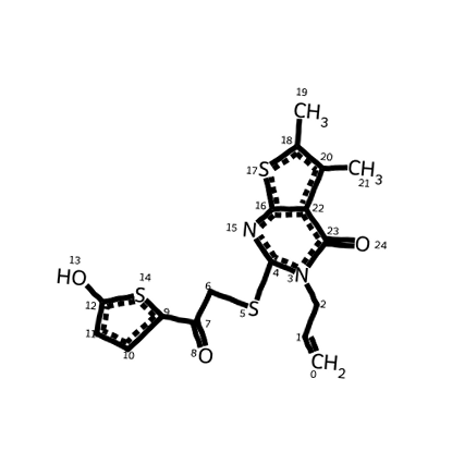 C=CCn1c(SCC(=O)c2ccc(O)s2)nc2sc(C)c(C)c2c1=O